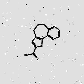 O=C(O)c1cc2c(s1)-c1ccccc1CCC2